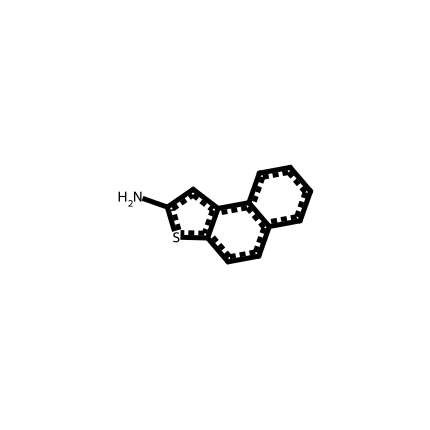 Nc1cc2c(ccc3ccccc32)s1